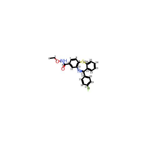 CCONC(=O)c1ccc2c(c1)N=C(c1ccc(F)cc1)c1ccccc1S2